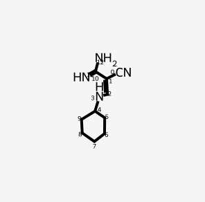 N#C/C(=C/NC1CCCCC1)C(=N)N